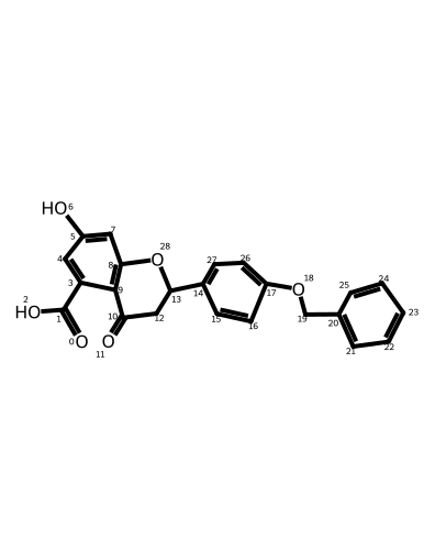 O=C(O)c1cc(O)cc2c1C(=O)CC(c1ccc(OCc3ccccc3)cc1)O2